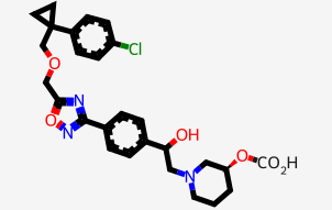 O=C(O)O[C@H]1CCCN(CC(O)c2ccc(-c3noc(COCC4(c5ccc(Cl)cc5)CC4)n3)cc2)C1